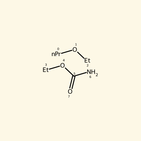 CCCOCC.CCOC(N)=O